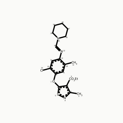 CCOC(=O)c1c(C)nsc1Oc1cc(C)c(/N=C/N2CCCCC2)cc1Cl